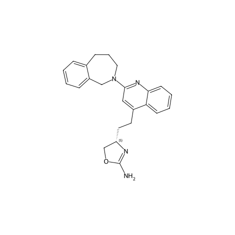 NC1=N[C@@H](CCc2cc(N3CCCc4ccccc4C3)nc3ccccc23)CO1